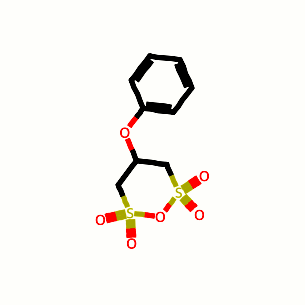 O=S1(=O)CC(Oc2ccccc2)CS(=O)(=O)O1